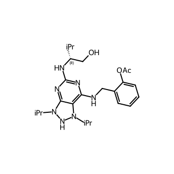 CC(=O)Oc1ccccc1CNc1nc(N[C@@H](CO)C(C)C)nc2c1N(C(C)C)NN2C(C)C